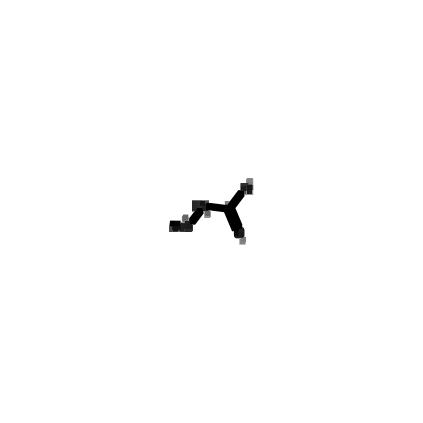 CCC(=O)NSC